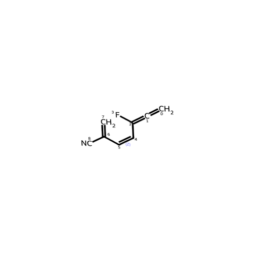 C=C=C(F)/C=C\C(=C)C#N